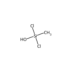 C[Si](O)(Cl)Cl